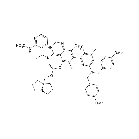 COc1ccc(CN(Cc2ccc(OC)cc2)c2cc(C)c(C(F)(F)F)c(-c3c(F)c4c5c(c3Cl)=NCNC=5N(C(C)c3cccnc3NC(=O)O)C=C(OCC35CCCN3CCC5)O4)n2)cc1